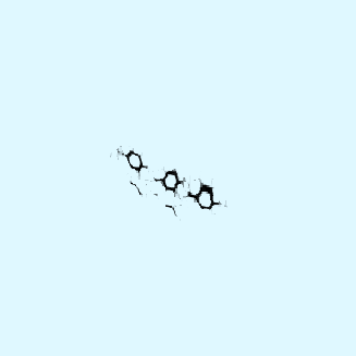 COc1c(C(=O)Nc2ccc(C(=O)O)cc2OC(C)C)ccc(NC(=O)c2ccc(N)cc2)c1OC(C)C